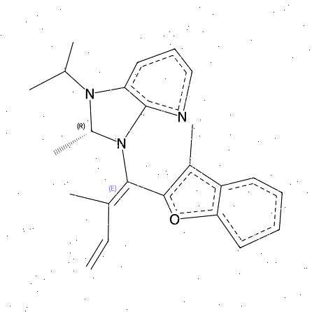 C=C/C(C)=C(\c1oc2ccccc2c1C)N1c2ncccc2N(C(C)C)[C@H]1C